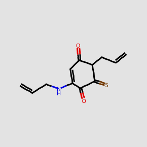 C=CCNC1=CC(=O)C(CC=C)C(=S)C1=O